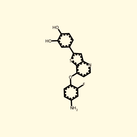 Nc1ccc(Oc2ccnc3cc(-c4ccc(O)c(O)c4)sc23)c(F)c1